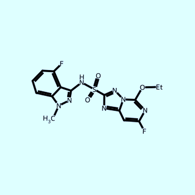 CCOc1nc(F)cc2nc(S(=O)(=O)Nc3nn(C)c4cccc(F)c34)nn12